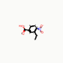 CCc1cc(C(=O)O)ccc1[N+](=O)[O-]